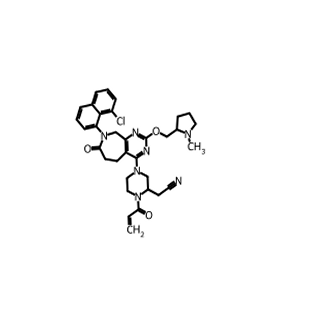 C=CC(=O)N1CCN(c2nc(OCC3CCCN3C)nc3c2CCC(=O)N(c2cccc4cccc(Cl)c24)C3)CC1CC#N